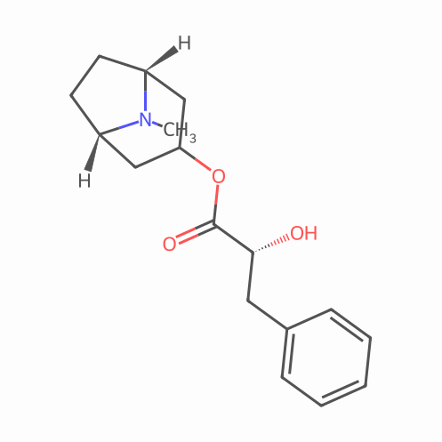 CN1[C@@H]2CC[C@H]1CC(OC(=O)[C@H](O)Cc1ccccc1)C2